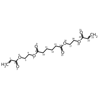 C=CC(=O)OCCOC(=O)CCCCC(=O)OCCOC(=O)C=C